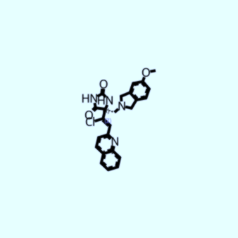 COc1ccc2c(c1)CN(C[C@@]1(/C(Cl)=C/c3ccc4ccccc4n3)NC(=O)NC1=O)C2